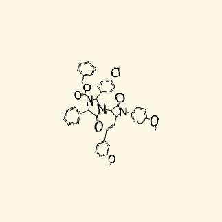 COc1ccc(N2C(=O)C(N3C(=O)C(c4ccccc4)N(C(=O)OCc4ccccc4)C3c3ccc(Cl)cc3)C2C=Cc2cccc(OC)c2)cc1